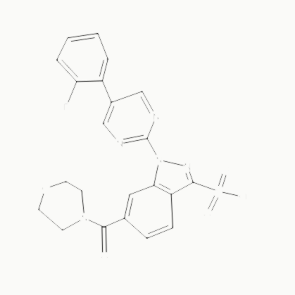 CS(=O)(=O)c1nn(-c2ncc(-c3ccccc3F)cn2)c2cc(C(=O)N3CCOCC3)ccc12